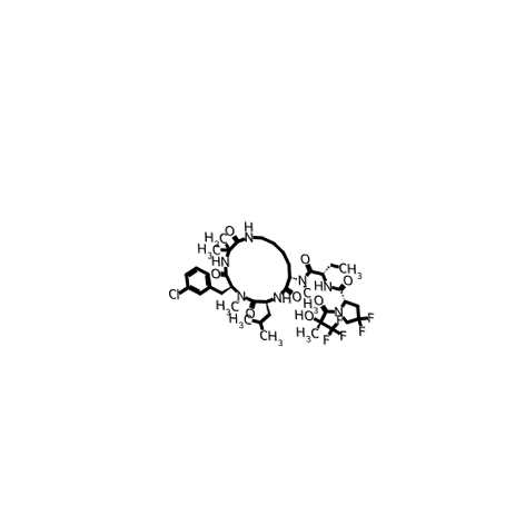 CC[C@H](NC(=O)[C@@H]1CC(F)(F)CN1C(=O)[C@@](C)(O)C(F)(F)F)C(=O)N(C)[C@H]1CCCCNC(=O)C(C)(C)NC(=O)[C@H](Cc2cccc(Cl)c2)N(C)C(=O)[C@H](CC(C)C)NC1=O